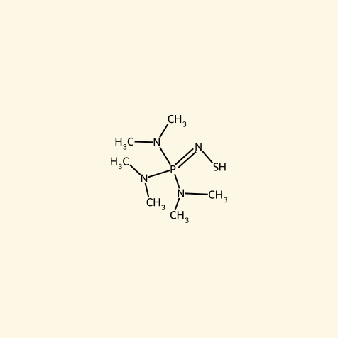 CN(C)P(=NS)(N(C)C)N(C)C